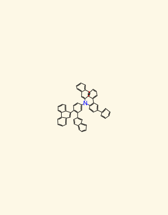 c1ccc(-c2ccc(N(c3ccc(-c4cc5ccccc5c5ccccc45)c(-c4ccc5ccccc5c4)c3)c3ccc4ccccc4c3)c(-c3ccccc3)c2)cc1